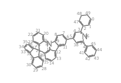 C1=CC(c2cc(-c3ccc4c(c3)c3cccc5c3n4-c3ccccc3C53c4ccccc4-c4ccccc43)cc(-c3ccccc3)n2)=CCC1